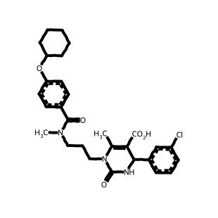 CC1=C(C(=O)O)C(c2cccc(Cl)c2)NC(=O)N1CCCN(C)C(=O)c1ccc(OC2CCCCC2)cc1